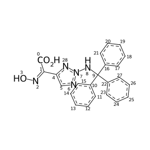 O=C(O)/C(=N\O)c1cnn(NC(c2ccccc2)(c2ccccc2)c2ccccc2)n1